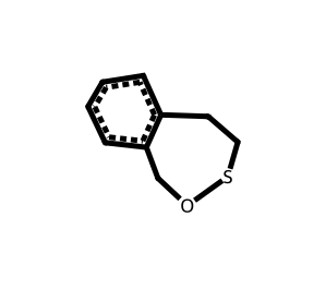 c1ccc2c(c1)CCSOC2